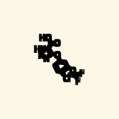 O=C(O)c1[nH]nnc1Oc1ccc(Cl)c(OC(F)(F)F)c1